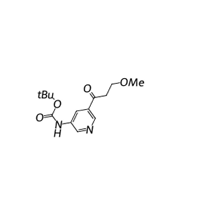 COCCC(=O)c1cncc(NC(=O)OC(C)(C)C)c1